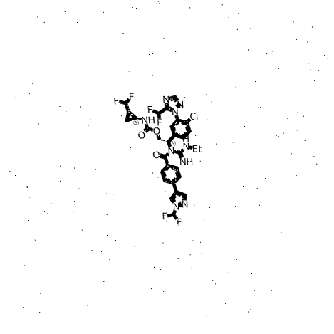 CCNC(=N)N(C(=O)c1ccc(-c2cnn(C(F)F)c2)cc1)[C@H](COC(=O)N[C@H]1CC1C(F)F)c1ccc(Cl)c(-n2ncnc2C(F)F)c1